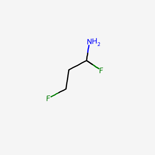 NC(F)CCF